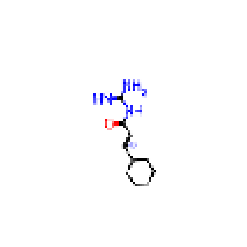 N=C(N)NC(=O)/C=C/C1CCCCC1